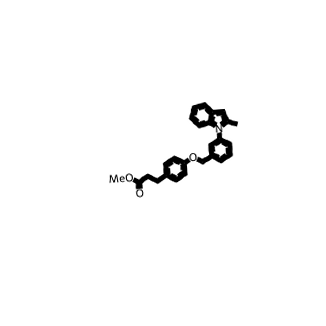 COC(=O)CCc1ccc(OCc2cccc(-n3c(C)cc4ccccc43)c2)cc1